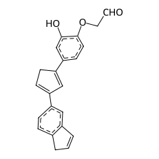 O=CCOc1ccc(C2=CC(c3ccc4c(c3)C=CC4)=CC2)cc1O